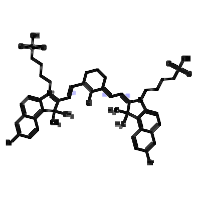 CC1(C)C(/C=C/C2=C(Cl)C(=C/C=C3/N(CCCCS(=O)(=O)O)c4ccc5cc(Br)ccc5c4C3(C)C)/CCC2)=[N+](CCCCS(=O)(=O)O)c2ccc3cc(Br)ccc3c21